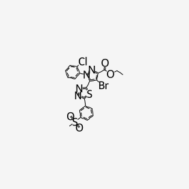 CCOC(=O)c1nn(-c2ccccc2Cl)c(-c2nnc(-c3cccc(S(C)(=O)=O)c3)s2)c1Br